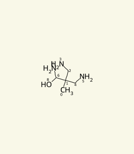 CC(CN)(CN)C(N)O